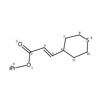 CC(C)OC(=O)C=CC1CCSCC1